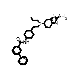 CCCN(CCC1CCC(NC(=O)c2cccc(-c3ccccc3)c2)CC1)[C@H]1CCc2nc(N)sc2C1